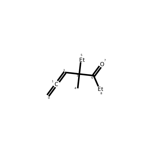 C=C=CC(C)(CC)C(=O)CC